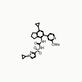 COc1cc(-c2cc(C3CC3)c3c(c2NC(=O)NS(=O)(=O)c2ccn(C4CC4)n2)CCC3)ccn1